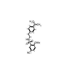 COc1ccc(C#N)cc1S(=O)(=O)NCCc1ccc(N(C)C)cc1